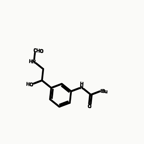 CC(C)(C)C(=O)Nc1cccc(C(O)CNC=O)c1